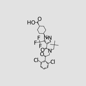 CC(C)(C)CN(CC(=O)c1c(Cl)cccc1Cl)C(=O)c1cnn([C@H]2CC[C@@H](C(=O)O)CC2)c1C(F)(F)F